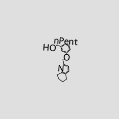 CCCCCC(O)c1cccc(OCc2ccc3c(n2)CCCC3)c1